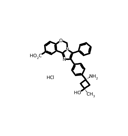 C[C@]1(O)C[C@@](N)(c2ccc(-c3nc4n(c3-c3ccccc3)COc3ccc(C(=O)O)cc3-4)cc2)C1.Cl